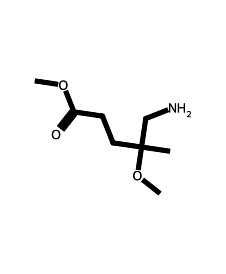 COC(=O)CCC(C)(CN)OC